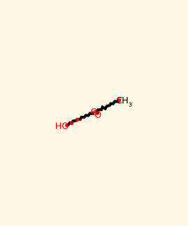 CCCCCCCCCCCC(=O)OCCCCCCCCCCCCCO